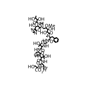 COC(CNC(=O)C(NC(=O)C(O)C(C)O)C(O)c1cncn1C)C(O)C(O)C(=O)N(C)C(Cc1ccccc1)C(=O)NCC(=O)NC(C(=O)NC(CO)C(=O)NC(C(=O)NC(CC(C)C)C(=O)NC(CO)C(=O)O)C(C)(C)O)C(C)(C)O